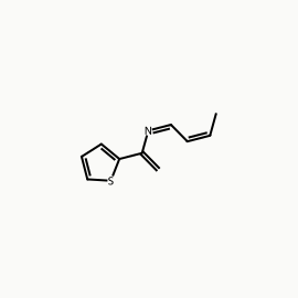 C=C(/N=C\C=C/C)c1cccs1